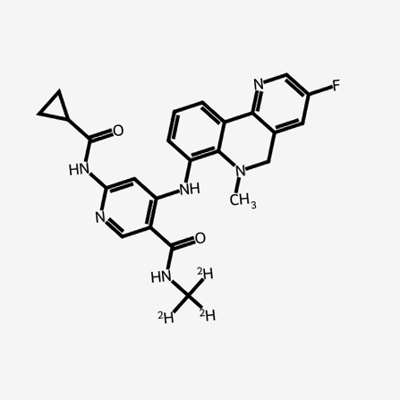 [2H]C([2H])([2H])NC(=O)c1cnc(NC(=O)C2CC2)cc1Nc1cccc2c1N(C)Cc1cc(F)cnc1-2